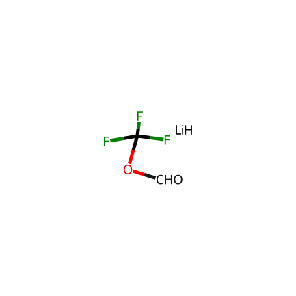 O=COC(F)(F)F.[LiH]